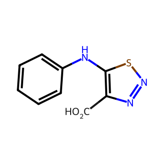 O=C(O)c1nnsc1Nc1ccccc1